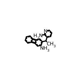 CC(c1ccc2c(c1)=c1ccccc1=2)c1cccnc1N.N